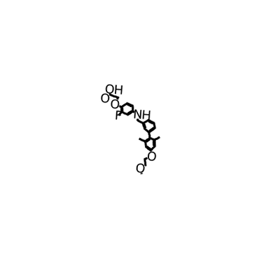 COCCOc1cc(C)c(-c2cccc(CNc3ccc(OCC(=O)O)c(F)c3)c2)c(C)c1